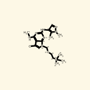 CNc1nc(Nc2cnn(C)c2C)nc2c1c(Cl)cn2COCC[Si](C)(C)C